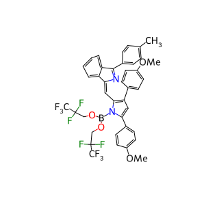 COc1ccc(-c2cc(-c3ccc(OC)cc3)n(B(OCC(F)(F)C(F)(F)F)OCC(F)(F)C(F)(F)F)c2/C=C2\N=C(c3ccc(C)cc3)c3ccccc32)cc1